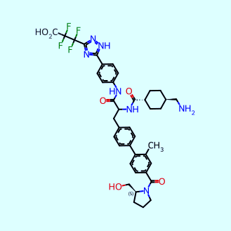 Cc1cc(C(=O)N2CCC[C@H]2CO)ccc1-c1ccc(CC(NC(=O)[C@H]2CC[C@H](CN)CC2)C(=O)Nc2ccc(-c3nc(C(F)(F)C(F)(F)C(=O)O)n[nH]3)cc2)cc1